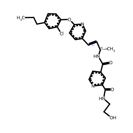 CCCc1ccc(Oc2ccc(/C=C/[C@H](C)NC(=O)c3ccnc(C(=O)NCCO)c3)cn2)c(Cl)c1